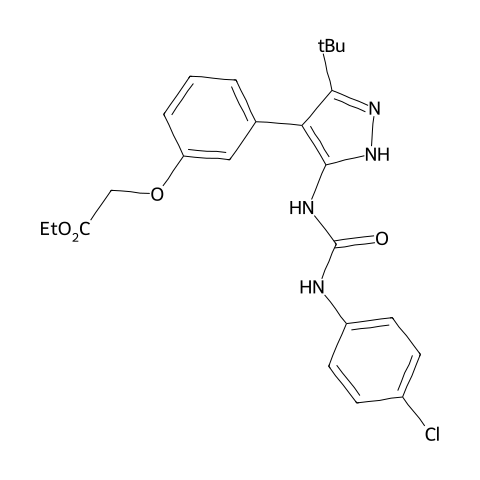 CCOC(=O)COc1cccc(-c2c(C(C)(C)C)n[nH]c2NC(=O)Nc2ccc(Cl)cc2)c1